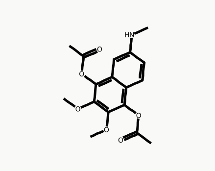 CNc1ccc2c(OC(C)=O)c(OC)c(OC)c(OC(C)=O)c2c1